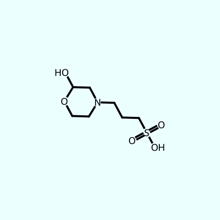 O=S(=O)(O)CCCN1CCOC(O)C1